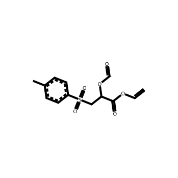 C=COC(=O)C(CS(=O)(=O)c1ccc(C)cc1)O[C]=O